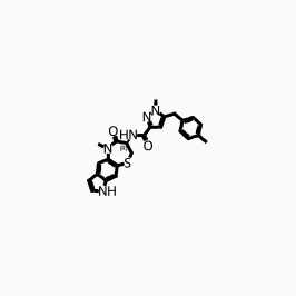 Cc1ccc(Cc2cc(C(=O)N[C@H]3CSc4cc5[nH]ccc5cc4N(C)C3=O)nn2C)cc1